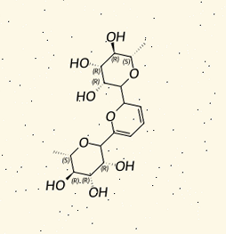 C[C@@H]1OC(C2=CC=CC(C3O[C@@H](C)[C@H](O)[C@@H](O)[C@H]3O)O2)[C@H](O)[C@H](O)[C@H]1O